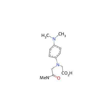 CNC(=O)CN(CC(=O)O)c1ccc(N(C)C)cc1